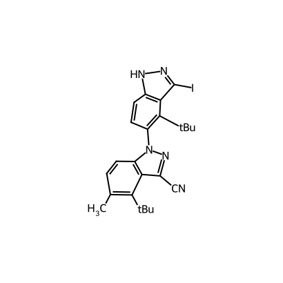 Cc1ccc2c(c(C#N)nn2-c2ccc3[nH]nc(I)c3c2C(C)(C)C)c1C(C)(C)C